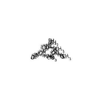 BC(F)(P)Cn1c(C#CCN(C)c2ccc(C(=O)NC)cc2OCCOC)cc2c1=CCCC=2NC1CCC(N2CC3(COC3)C2)CC1